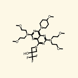 COCCN(CCOC)c1nc(N2CC(O)(C(F)(F)F)C2)c2nc(N(CCOC)CCOC)nc(N3CCC(OC)CC3)c2n1